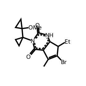 CCC1C(Br)=C(C)c2c1[nH]c(=O)n(C1(C3(OC)CC3)CC1)c2=O